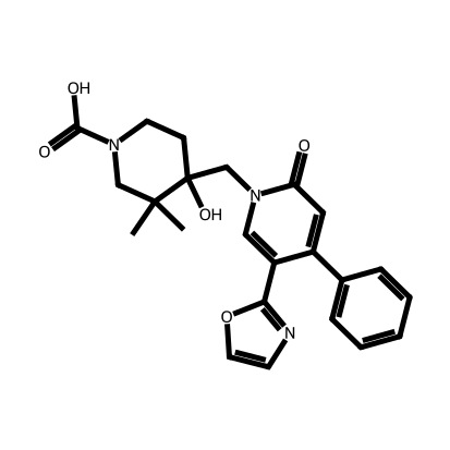 CC1(C)CN(C(=O)O)CCC1(O)Cn1cc(-c2ncco2)c(-c2ccccc2)cc1=O